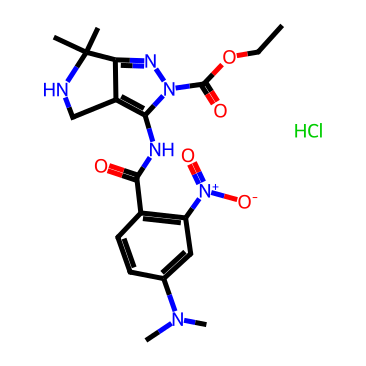 CCOC(=O)n1nc2c(c1NC(=O)c1ccc(N(C)C)cc1[N+](=O)[O-])CNC2(C)C.Cl